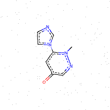 Cn1ncc(=O)cc1-n1ccnc1